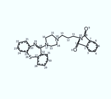 O=C1c2ccccc2C(=O)N1CCCN1CCN(C2=Nc3ccccc3Sc3ccccc32)CC1